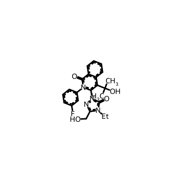 CCn1c(CO)nn(-c2c(C(C)(C)O)c3ccccc3c(=O)n2-c2cccc(F)c2)c1=O